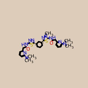 CN(C)c1cccc(CC(=O)Nc2nnc([C@H]3CCC[C@H](C4=NN(C)C(NC(=O)Cc5cccc(N(C)C)n5)S4)C3)s2)n1